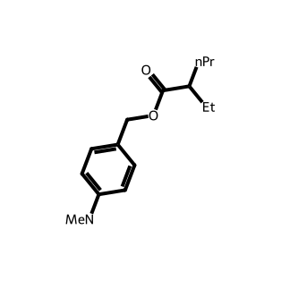 CCCC(CC)C(=O)OCc1ccc(NC)cc1